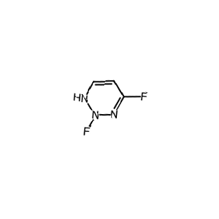 FC1=NN(F)NC=C1